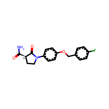 NC(=O)[C@@H]1CCN(c2ccc(OCc3ccc(F)cc3)cc2)C1=O